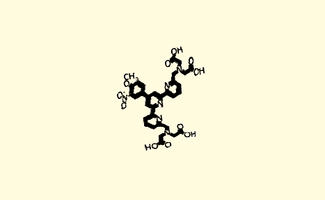 COc1ccc(-c2cc(-c3cccc(CN(CC(=O)O)CC(=O)O)n3)nc(-c3cccc(CN(CC(=O)O)CC(=O)O)n3)c2)cc1[N+](=O)[O-]